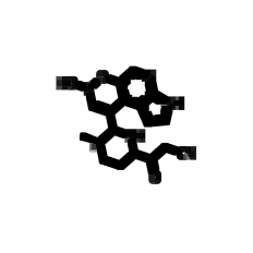 C[C@@H]1CCC(C(=O)CC#N)NC1C1=CB(O)Oc2cnc3[nH]ccc3c21